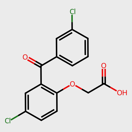 O=C(O)COc1ccc(Cl)cc1C(=O)c1cccc(Cl)c1